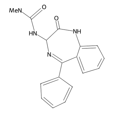 CNC(=O)NC1N=C(c2ccccc2)c2ccccc2NC1=O